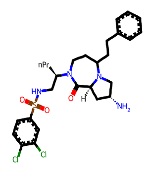 CCC[C@H](CNS(=O)(=O)c1ccc(Cl)c(Cl)c1)N1CCC(CCc2ccccc2)N2C[C@H](N)C[C@H]2C1=O